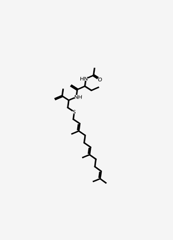 C=C(C)C(CSC/C=C(\C)CC/C=C(\C)CCC=C(C)C)NC(=C)C(CC)NC(C)=O